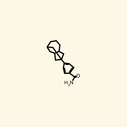 NC(=O)c1ccc(C23CC4CCCC(C2)C(C4)C3)cc1